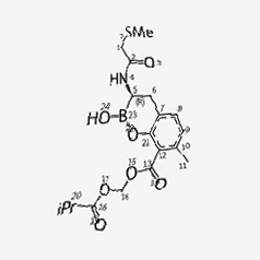 CSCC(=O)N[C@H]1Cc2ccc(C)c(C(=O)OCOC(=O)C(C)C)c2OB1O